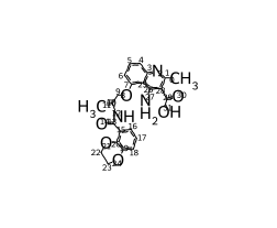 Cc1nc2cccc(OC[C@@H](C)NC(=O)c3cccc4c3OCCO4)c2c(N)c1C(=O)O